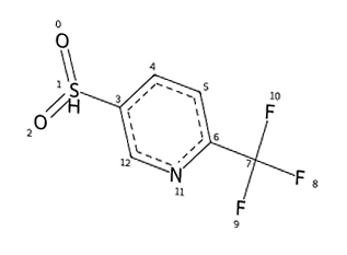 O=[SH](=O)c1ccc(C(F)(F)F)nc1